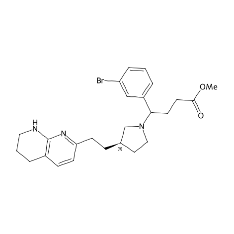 COC(=O)CCC(c1cccc(Br)c1)N1CC[C@@H](CCc2ccc3c(n2)NCCC3)C1